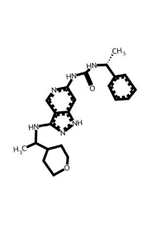 CC(Nc1n[nH]c2cc(NC(=O)N[C@H](C)c3ccccc3)ncc12)C1CCOCC1